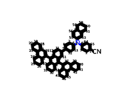 N#Cc1ccc(N(c2ccc(-c3ccc4c(-c5cc6ccccc6c6ccccc56)c5ccccc5c(-c5cc6ccccc6c6ccccc56)c4c3)cc2)c2ccc3ccccc3c2)cc1